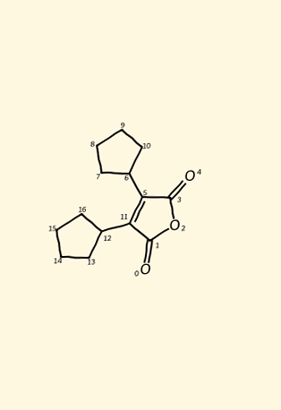 O=C1OC(=O)C(C2CCCC2)=C1C1CCCC1